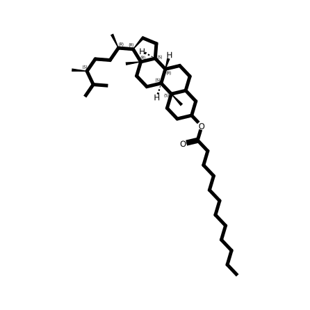 CCCCCCCCCCCC(=O)OC1CC[C@@]2(C)C(CC[C@H]3[C@@H]4CC[C@H]([C@H](C)CC[C@H](C)C(C)C)[C@@]4(C)CC[C@@H]32)C1